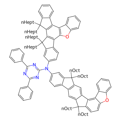 CCCCCCCCC1(CCCCCCCC)c2cc(N(c3ccc4c(c3)C(CCCCCCC)(CCCCCCC)c3c5c(c6c(oc7ccccc76)c3-4)-c3ccccc3C5(CCCCCCC)CCCCCCC)c3nc(-c4ccccc4)nc(-c4ccccc4)n3)ccc2-c2cc3c(cc21)-c1c(ccc2oc4ccccc4c12)C3(CCCCCCCC)CCCCCCCC